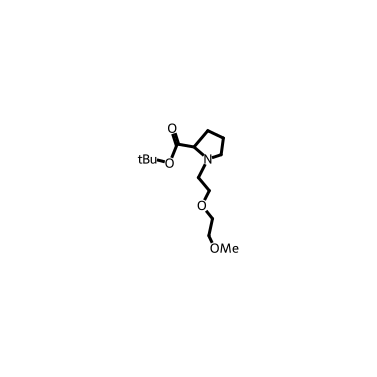 COCCOCCN1CCCC1C(=O)OC(C)(C)C